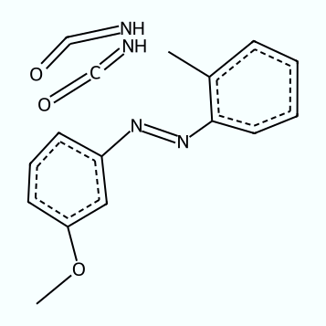 COc1cccc(N=Nc2ccccc2C)c1.N=C=O.N=C=O